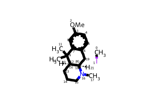 CI.COc1ccc2c(c1)C(C)(C)[C@@H]1CCCN(C)[C@@H]1C2